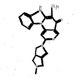 CN1CC2CN(c3cc4c(cn3)c(=O)c(C(=O)O)c3[nH]c5ccccc5n34)CC2C1